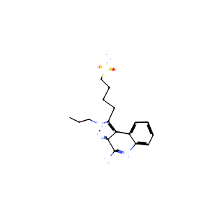 CCCn1nc2c(N)nc3ccccc3c2c1CCCCS(N)(=O)=O